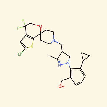 CC1=NN(c2c(CO)cccc2C2CC2)CC1CN1CCC2(CC1)OCC(F)(F)c1cc(Cl)sc12